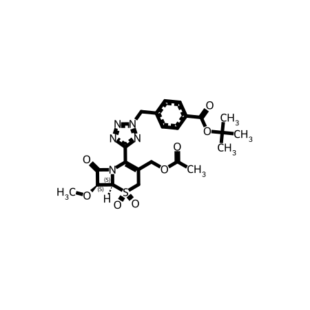 CO[C@H]1C(=O)N2C(c3nnn(Cc4ccc(C(=O)OC(C)(C)C)cc4)n3)=C(COC(C)=O)CS(=O)(=O)[C@@H]12